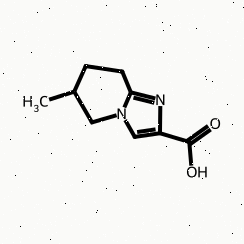 CC1CCc2nc(C(=O)O)cn2C1